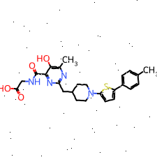 Cc1ccc(-c2ccc(N3CCC(Cc4nc(C)c(O)c(C(=O)NCC(=O)O)n4)CC3)s2)cc1